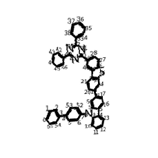 c1ccc(-c2ccc(-n3c4ccccc4c4ccc(-c5ccc6c(c5)sc5ccc(-c7nc(-c8ccccc8)nc(-c8ccccc8)n7)cc56)cc43)cc2)cc1